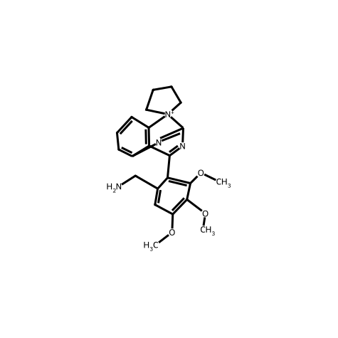 COc1cc(CN)c(-c2nc3nc4cccc(c24)[N+]32CCCC2)c(OC)c1OC